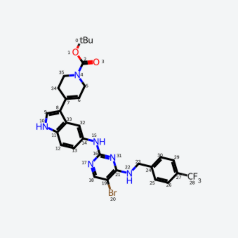 CC(C)(C)OC(=O)N1CC=C(c2c[nH]c3ccc(Nc4ncc(Br)c(NCc5ccc(C(F)(F)F)cc5)n4)cc23)CC1